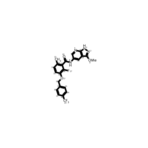 COc1n[nH]c2ncc(NC(=O)c3c(C)ccc(OCc4ccc(C(F)(F)F)cc4)c3F)cc12